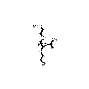 CC(O)C(=O)O.COCCOCCOCCO